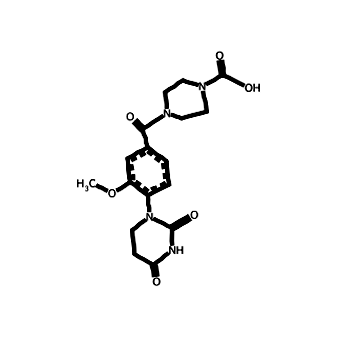 COc1cc(C(=O)N2CCN(C(=O)O)CC2)ccc1N1CCC(=O)NC1=O